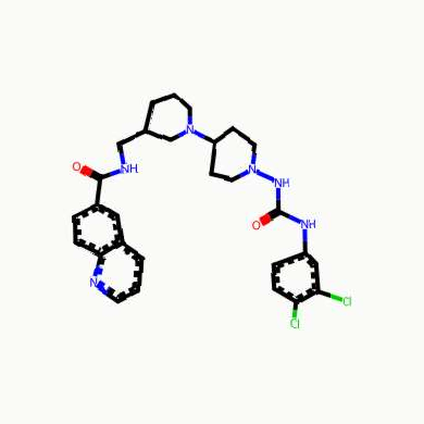 O=C(Nc1ccc(Cl)c(Cl)c1)NN1CCC(N2CCCC(CNC(=O)c3ccc4ncccc4c3)C2)CC1